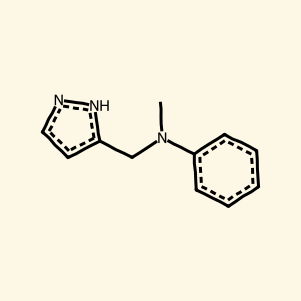 CN(Cc1ccn[nH]1)c1ccccc1